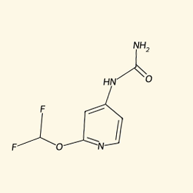 NC(=O)Nc1ccnc(OC(F)F)c1